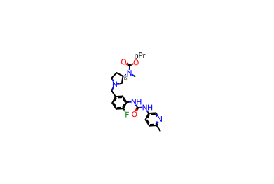 CCCOC(=O)N(C)[C@H]1CCN(Cc2ccc(F)c(NC(=O)Nc3ccc(C)nc3)c2)C1